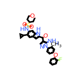 Cc1cc(Oc2ccccc2F)ccc1-n1ncc(C(=O)c2cc3cc(C4CC4)c(NS(=O)(=O)C4CCOCC4)cc3[nH]2)c1N